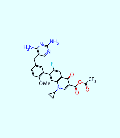 COc1ccc(Cc2cnc(N)nc2N)cc1-c1cc2c(cc1F)c(=O)c(C(=O)OC(=O)C(F)(F)F)cn2C1CC1